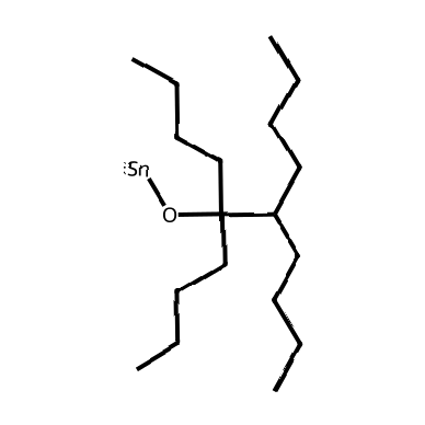 CCCCC(CCCC)C(CCCC)(CCCC)[O][Sn]